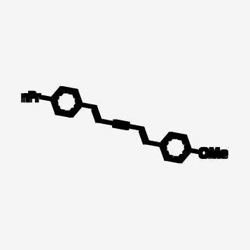 CCCc1ccc(C=CC#CC=Cc2ccc(OC)cc2)cc1